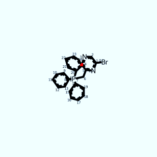 Brc1cncc(C[PH](c2ccccc2)(c2ccccc2)c2ccccc2)n1